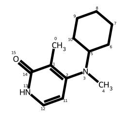 Cc1c(N(C)C2CCCCC2)cc[nH]c1=O